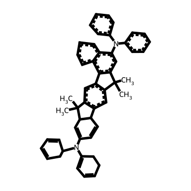 CC1(C)c2cc3c(cc2-c2c1cc(N(c1ccccc1)c1ccccc1)c1ccccc21)C(C)(C)C1C=C(N(C2=CC=CCC2)C2C=CC=CC2)C=CC31